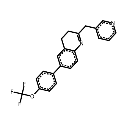 FC(F)(F)Oc1ccc(-c2ccc3c(c2)CCC(Cc2cccnc2)=N3)cc1